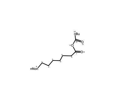 CCCCCCCCCCCCCCCC(=O)OC(=O)CCCC